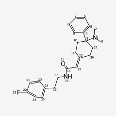 CN(C)C1(c2ccccc2)CCC(=CC(=O)NCCc2ccc(F)cc2)CC1